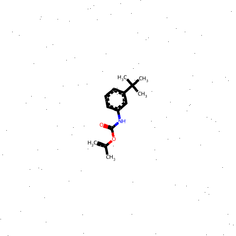 C=C(C)OC(=O)Nc1cccc(C(C)(C)C)c1